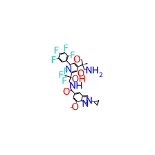 COc1cc(C(=O)NCC(O)(c2cc3c(c(-c4cc(F)c(F)c(F)c4F)n2)OC[C@]3(C)C(N)=O)C(F)(F)F)cc2cn(C3CC3)nc12